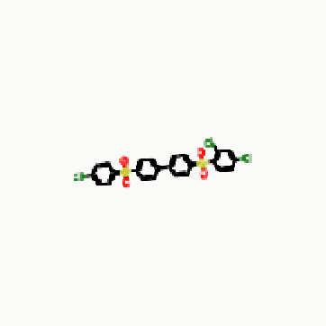 O=S(=O)(c1ccc(Cl)cc1)c1ccc(-c2ccc(S(=O)(=O)c3ccc(Cl)cc3Cl)cc2)cc1